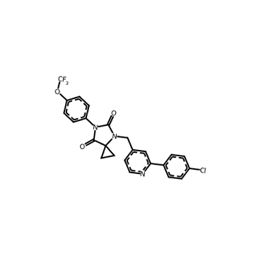 O=C1N(c2ccc(OC(F)(F)F)cc2)C(=O)C2(CC2)N1Cc1ccnc(-c2ccc(Cl)cc2)c1